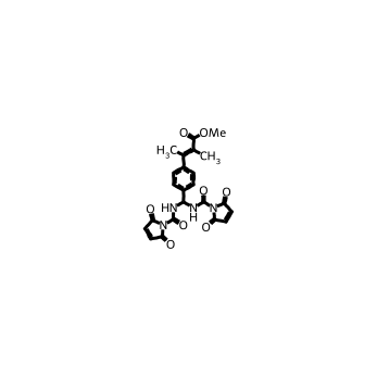 COC(=O)/C(C)=C(\C)c1ccc(C(NC(=O)N2C(=O)C=CC2=O)NC(=O)N2C(=O)C=CC2=O)cc1